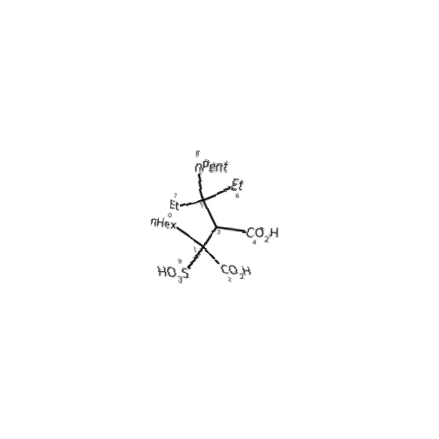 CCCCCCC(C(=O)O)(C(C(=O)O)C(CC)(CC)CCCCC)S(=O)(=O)O